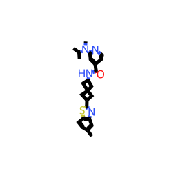 Cc1ccc2sc(C3CC4(CC(NC(=O)c5ccnc(N(C)C(C)C)c5)C4)C3)nc2c1